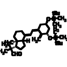 C=C1/C(=C\C=C2/CCC[C@]3(C)[C@@H](C(C)(C)C=O)CC[C@@H]23)C[C@@H](O[Si](C)(C)C(C)(C)C)C[C@@H]1O[Si](C)(C)C(C)(C)C